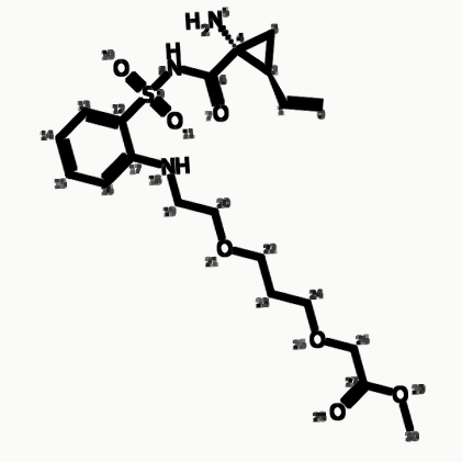 C=C[C@@H]1C[C@]1(N)C(=O)NS(=O)(=O)c1ccccc1NCCOCCCOCC(=O)OC